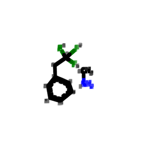 CN.FC(F)(F)Cc1ccccc1